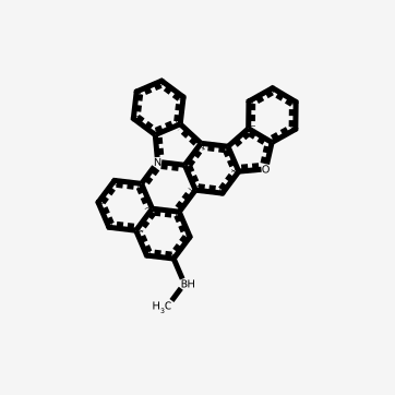 CBc1cc2cccc3c2c(c1)c1cc2oc4ccccc4c2c2c4ccccc4n3c12